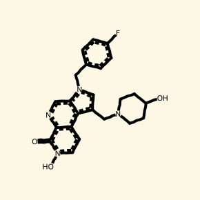 O=c1c2ncc3c(c(CN4CCC(O)CC4)cn3Cc3ccc(F)cc3)c2ccn1O